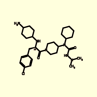 CN(C)NC(=O)N(C1CCCCC1)C1CCN(C(=O)[C@@H](Cc2ccc(Cl)cc2)NC2CCC(N)CC2)CC1